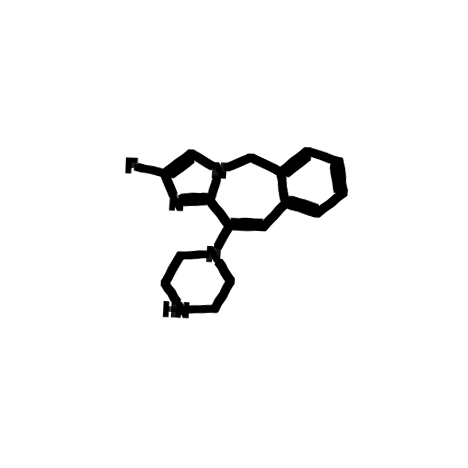 Fc1cn2c(n1)C(N1CCNCC1)=Cc1ccccc1C2